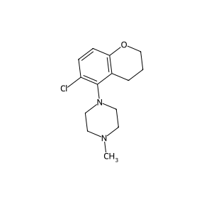 CN1CCN(c2c(Cl)ccc3c2CCCO3)CC1